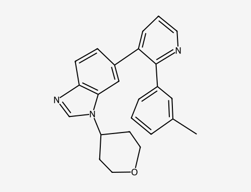 Cc1cccc(-c2ncccc2-c2ccc3ncn(C4CCOCC4)c3c2)c1